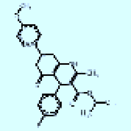 COc1ccc(C2CC(=O)C3=C(C2)NC(C)=C(C(=O)OC(C)C)C3c2ccc(F)cc2)cc1